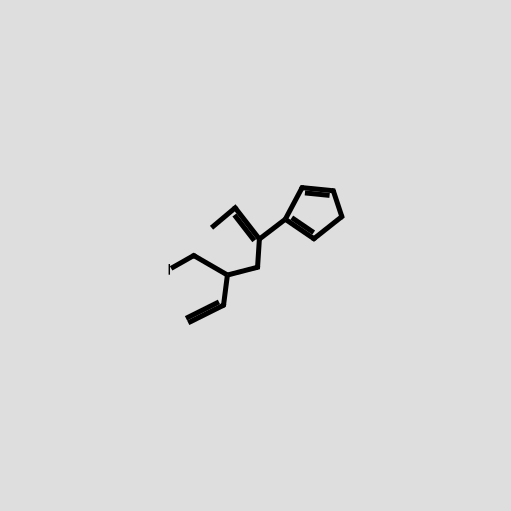 C=CC(CI)C/C(=C\C)C1=CCC=C1